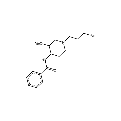 COC1CN(CCCC(C)=O)CCC1NC(=O)c1ccccc1